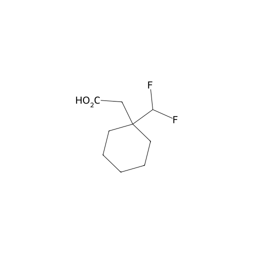 O=C(O)CC1(C(F)F)CCCCC1